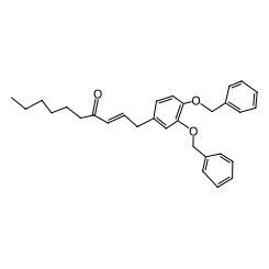 CCCCCCC(=O)C=CCc1ccc(OCc2ccccc2)c(OCc2ccccc2)c1